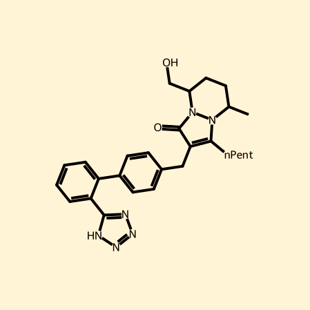 CCCCCc1c(Cc2ccc(-c3ccccc3-c3nnn[nH]3)cc2)c(=O)n2n1C(C)CCC2CO